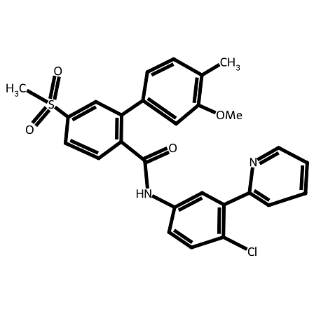 COc1cc(-c2cc(S(C)(=O)=O)ccc2C(=O)Nc2ccc(Cl)c(-c3ccccn3)c2)ccc1C